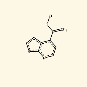 C=C(OCC)c1ccnc2sccc12